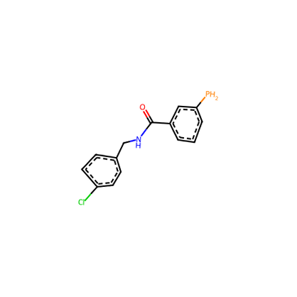 O=C(NCc1ccc(Cl)cc1)c1cccc(P)c1